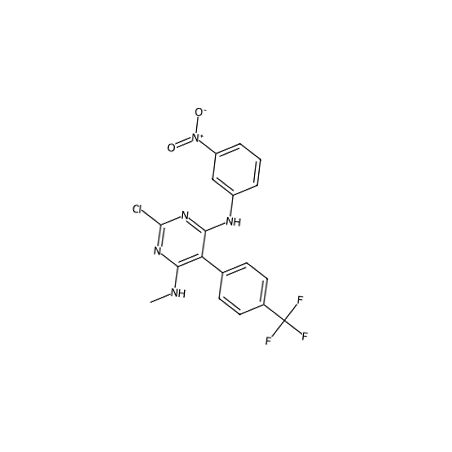 CNc1nc(Cl)nc(Nc2cccc([N+](=O)[O-])c2)c1-c1ccc(C(F)(F)F)cc1